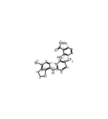 CNC(=O)c1ccccc1Nc1nc(Nc2ccc(Br)c3c2OCC3)ncc1C(F)(F)F